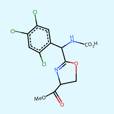 COC(=O)C1COC(C(NC(=O)O)c2cc(Cl)c(Cl)cc2Cl)=N1